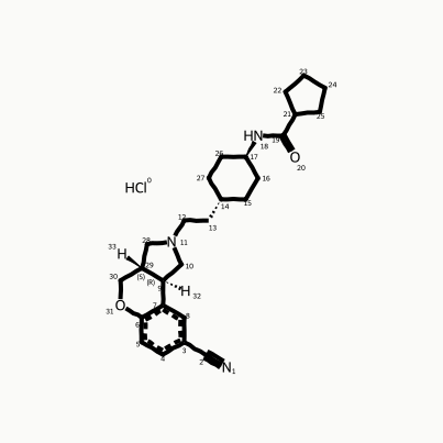 Cl.N#Cc1ccc2c(c1)[C@@H]1CN(CC[C@H]3CC[C@H](NC(=O)C4CCCC4)CC3)C[C@H]1CO2